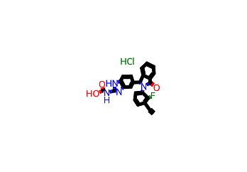 C#Cc1cccc(N2C(=O)c3ccccc3C2c2ccc3[nH]c(NC(=O)O)nc3c2)c1F.Cl